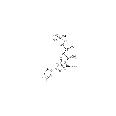 CC(OC(=O)OCC(Cl)(Cl)Cl)[C@H]1C(=O)N2C=C(C3CCCNC3)S[C@H]12